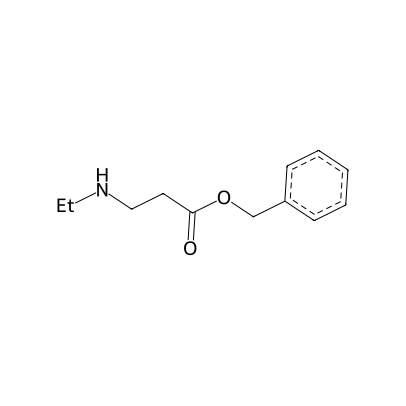 CCNCCC(=O)OCc1ccccc1